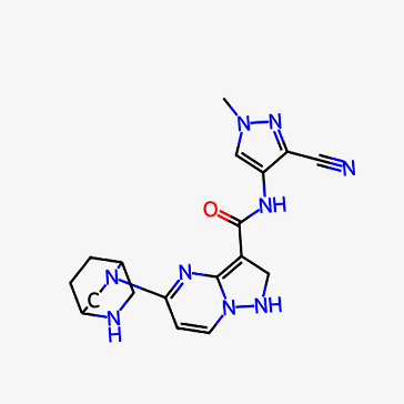 Cn1cc(NC(=O)C2=C3N=C(N4CC5CCC4CN5)C=CN3NC2)c(C#N)n1